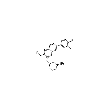 Cc1cc(-c2ccc3c(c2)=CN(C[C@H]2CCCN(C(C)C)C2)C(CF)N=3)ccc1F